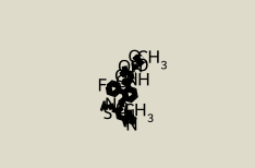 Cn1cncc1CC(OCc1cccc(C(=O)N[C@@H](CCS(C)(=O)=O)C(=O)O)c1-c1ccc(F)cc1)c1nccs1